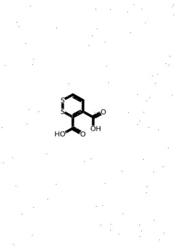 O=C(O)C1=C(C(=O)O)SSC=C1